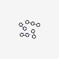 c1ccc(-c2ccc(-c3cccc(-n4c5ccccc5c5cc(-n6c7ccccc7c7ccc(-n8c9ccccc9c9ccccc98)cc76)ccc54)c3)cc2)cc1